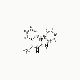 CCNc1nc2cccnc2n1-c1ccccc1